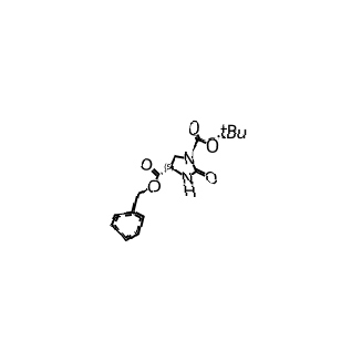 CC(C)(C)OC(=O)N1C[C@@H](C(=O)OCc2ccccc2)NC1=O